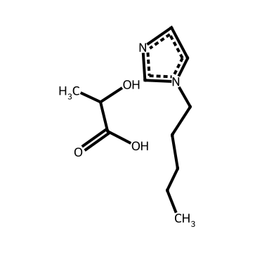 CC(O)C(=O)O.CCCCCn1ccnc1